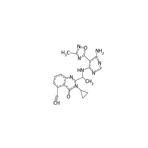 C#Cc1cccc2nc(C(C)Nc3ncnc(N)c3-c3nc(C)no3)n(C3CC3)c(=O)c12